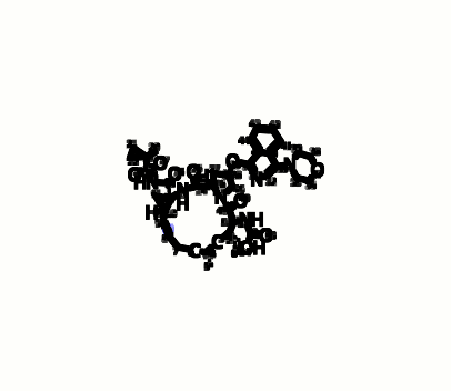 CC[C@@H]1C[C@H](C)CC/C=C\[C@@H]2C[C@@]2(C(=O)NS(=O)(=O)C2(C)CC2)NC(=O)[C@@H]2C[C@@H](Oc3ncc(N4CCOCC4)c4ccccc34)CN2C(=O)[C@H]1NC(=O)O